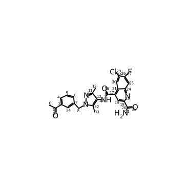 CC(=O)c1cccc(Cn2nc(C)c(NC(=O)c3cc(C(N)=O)nc4cc(F)c(Cl)cc34)c2C)c1